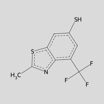 Cc1nc2c(C(F)(F)F)cc(S)cc2s1